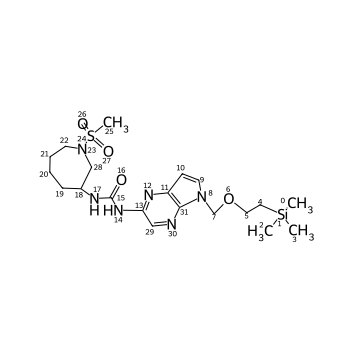 C[Si](C)(C)CCOCn1ccc2nc(NC(=O)NC3CCCCN(S(C)(=O)=O)C3)cnc21